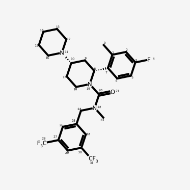 Cc1cc(F)ccc1[C@H]1C[C@@H](N2CCCCC2)CCN1C(=O)N(C)Cc1cc(C(F)(F)F)cc(C(F)(F)F)c1